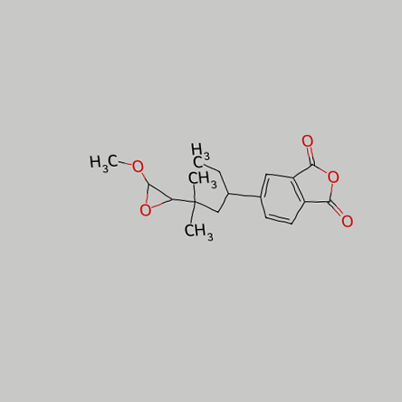 CCC(CC(C)(C)C1OC1OC)c1ccc2c(c1)C(=O)OC2=O